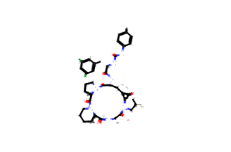 Cc1ccc(NC(=O)N[C@@H](Cc2cc(F)cc(F)c2)C(=O)N[C@@H]2C(=O)N3CCC[C@H]3C(=O)N3CCCC[C@H]3C(=O)N[C@@H](C)C(=O)N3C[C@H](C)C[C@]34C(=O)[C@@H]4[C@@H]2C)cc1